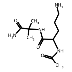 CC(=O)NC(CCCN)C(=O)NC(C)(C)C(N)=O